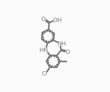 Cc1cc(Cl)cc2c1C(=O)Nc1cc(C(=O)O)ccc1N2